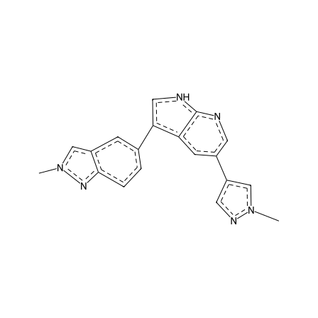 Cn1cc(-c2cnc3[nH]cc(-c4ccc5nn(C)cc5c4)c3c2)cn1